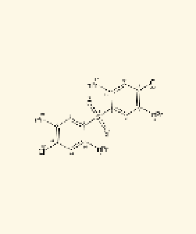 CCCc1cc(S(=O)(=O)c2cc(CCC)c(Cl)cc2CCC)c(CCC)cc1Cl